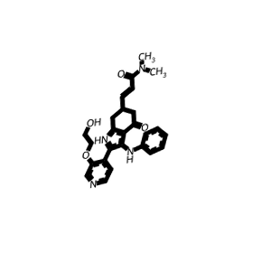 CN(C)C(=O)/C=C/C1CC(=O)c2c([nH]c(-c3ccncc3OCCO)c2Nc2ccccc2)C1